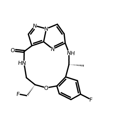 C[C@H]1Nc2ccn3ncc(c3n2)C(=O)NC[C@@H](CF)Oc2ccc(F)cc21